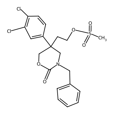 CS(=O)(=O)OCCC1(c2ccc(Cl)c(Cl)c2)COC(=O)N(Cc2ccccc2)C1